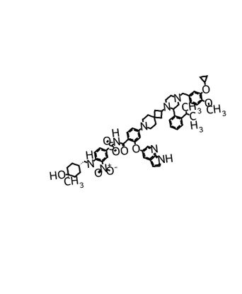 COc1ccc(CN2CCN(C3CC4(CCN(c5ccc(C(=O)NS(=O)(=O)c6ccc(NC[C@H]7CC[C@](C)(O)CC7)c([N+](=O)[O-])c6)c(Oc6cnc7[nH]ccc7c6)c5)CC4)C3)C(c3ccccc3C(C)C)C2)cc1OC1CC1